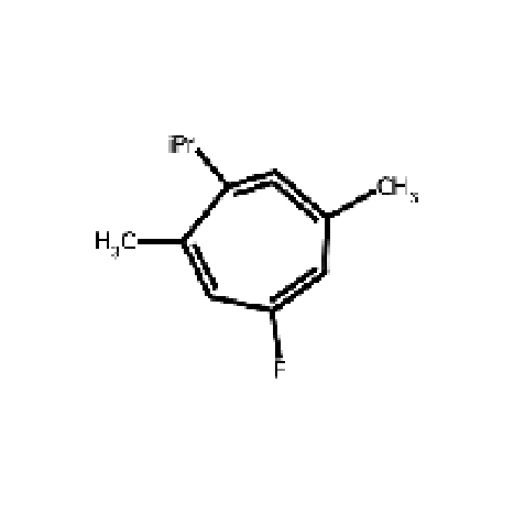 CC1=C=C(C(C)C)C(C)=CC(F)=C1